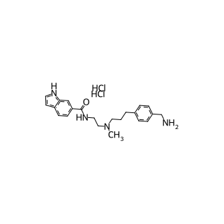 CN(CCCc1ccc(CN)cc1)CCNC(=O)c1ccc2cc[nH]c2c1.Cl.Cl